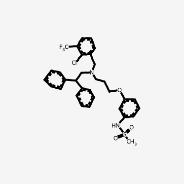 CS(=O)(=O)Nc1cccc(OCCCN(Cc2cccc(C(F)(F)F)c2Cl)CC(c2ccccc2)c2ccccc2)c1